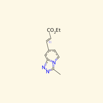 CCOC(=O)/C=C/c1ccn2c(C)nnc2c1